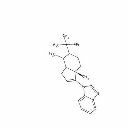 CCCC(C)(C)C1CC[C@]2(C)C(n3cnc4ccccc43)=CCC2C1C